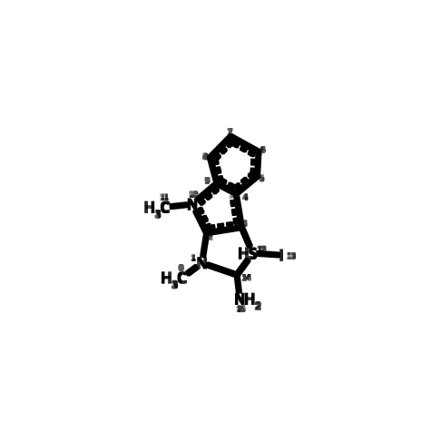 CN1c2c(c3ccccc3n2C)[SH](I)C1N